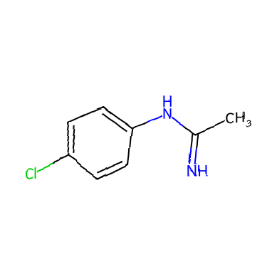 CC(=N)Nc1ccc(Cl)cc1